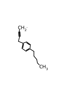 [CH2]C#CCc1ccc(CCCCC)cc1